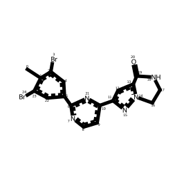 Cc1c(Br)cc(-c2nccc(-c3cc4n(n3)CCNC4=O)n2)cc1Br